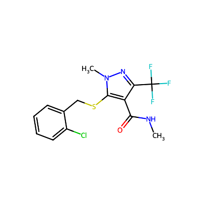 CNC(=O)c1c(C(F)(F)F)nn(C)c1SCc1ccccc1Cl